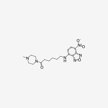 CN1CCN(C(=O)CCCCCNc2ccc([N+](=O)[O-])c3nonc23)CC1